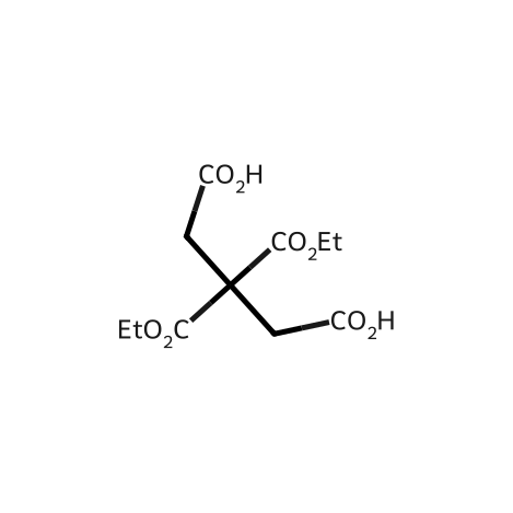 CCOC(=O)C(CC(=O)O)(CC(=O)O)C(=O)OCC